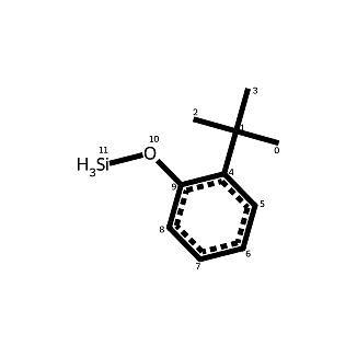 CC(C)(C)c1ccccc1O[SiH3]